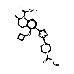 COC(=O)N1c2ccc(-c3csc(N4CCN(C(=O)OC(C)(C)C)CC4)n3)c(OC3CCC3)c2CCC1C